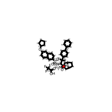 NC1CC2CCC(C1)N2C(=O)[C@@H](NS(=O)(=O)c1ccc2cc(OC3CCCC3)ccc2c1)C(F)(F)c1ccc(-c2ccccc2)cc1.O=C(O)C(F)(F)F